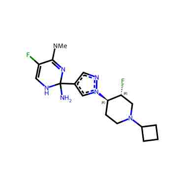 CNC1=NC(N)(c2cnn([C@@H]3CCN(C4CCC4)C[C@H]3F)c2)NC=C1F